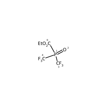 CCOC(=O)P(=O)(C(F)(F)F)C(F)(F)F